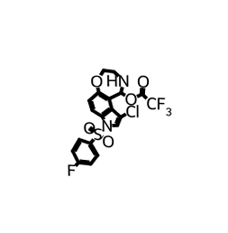 O=C(OC1NCCOc2ccc3c(c(Cl)cn3S(=O)(=O)c3ccc(F)cc3)c21)C(F)(F)F